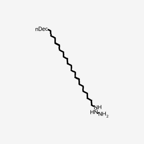 CCCCCCCCCCCCCCCCCCCCCCCCCCCCCCCCNNN